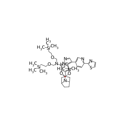 CC(C)(C)OC(=O)N1C2CCC1CC(c1cc(N(COCC[Si](C)(C)C)COCC[Si](C)(C)C)n3ncc(-c4ccc(-c5nccs5)nc4)c3n1)C2